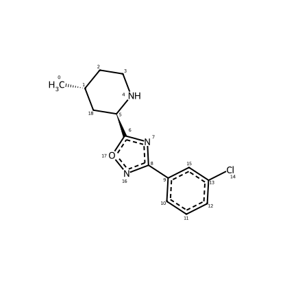 C[C@@H]1CCN[C@@H](c2nc(-c3cccc(Cl)c3)no2)C1